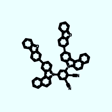 N#Cc1cc(-n2c3ccc(-c4ccc5c(c4)oc4ccccc45)cc3c3c4ccccc4ccc32)cc(-n2c3ccc(-c4ccc5c(c4)oc4ccccc45)cc3c3c4ccccc4ccc32)c1C#N